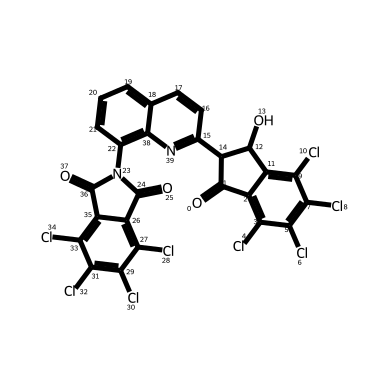 O=C1c2c(Cl)c(Cl)c(Cl)c(Cl)c2C(O)C1c1ccc2cccc(N3C(=O)c4c(Cl)c(Cl)c(Cl)c(Cl)c4C3=O)c2n1